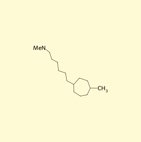 CNCCCCCCC1CCCC(C)CC1